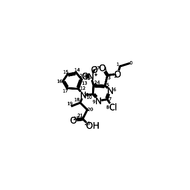 CCOC(=O)c1nc(Cl)nc(N(c2ccccc2)C(C)CC(=O)O)c1[N+](=O)[O-]